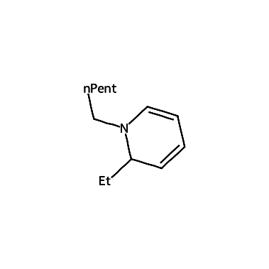 CCCCCCN1C=CC=CC1CC